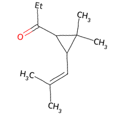 CCC(=O)C1C(C=C(C)C)C1(C)C